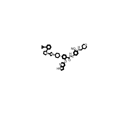 O=C(NSc1ccc(NCC2CCOCC2)c([N+](=O)[O-])c1)c1ccc([C@H]2CC[C@H](N3CC(N4CCCC4c4ccccc4C4CC4)C3)CC2)cc1Oc1cnc2[nH]ccc2c1